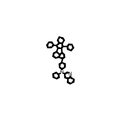 c1ccc(-c2c3c(c(-c4ccccc4)c4ccccc24)-c2ccc(-c4ccc(N(c5ccccc5)c5cnc6ccccc6c5)cc4)c4cccc-3c24)cc1